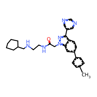 Cc1ccc(-c2ccc3c(-c4cncnc4)nn(CC(=O)NCCNCC4CCCCC4)c3c2)cc1